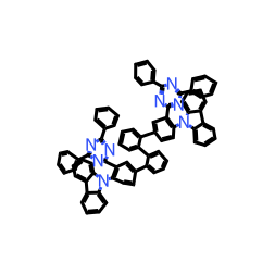 c1ccc(-c2nc(-c3ccccc3)nc(-c3cc(-c4ccccc4-c4ccccc4-c4ccc(-n5c6ccccc6c6ccccc65)c(-c5nc(-c6ccccc6)nc(-c6ccccc6)n5)c4)ccc3-n3c4ccccc4c4ccccc43)n2)cc1